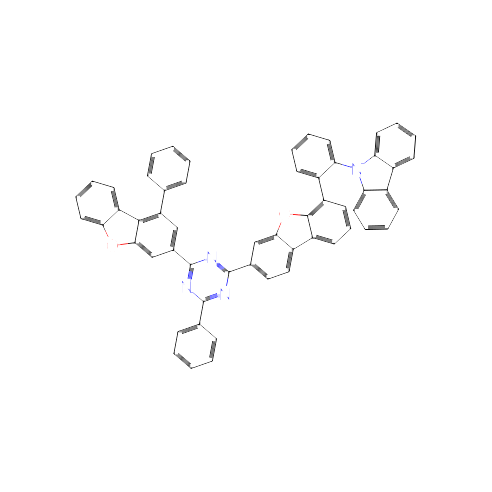 c1ccc(-c2nc(-c3ccc4c(c3)oc3c(-c5ccccc5-n5c6ccccc6c6ccccc65)cccc34)nc(-c3cc(-c4ccccc4)c4c(c3)oc3ccccc34)n2)cc1